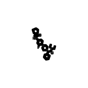 CCN(CC)C(=O)C(c1ccccc1)N1CCN(c2ccc(NC(=O)C3(C)CCCCC3)cc2F)CC1